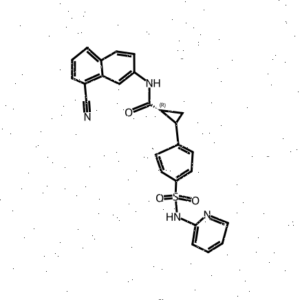 N#Cc1cccc2ccc(NC(=O)[C@@H]3CC3c3ccc(S(=O)(=O)Nc4ccccn4)cc3)cc12